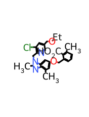 CCOCc1cnc(Cn2c(C)nc3c(C)cc(OCc4cccc(C)c4C(=O)O)cc32)c(Cl)c1